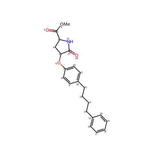 COC(=O)C1CC(Oc2ccc(CCCCc3ccccc3)cc2)C(=O)N1